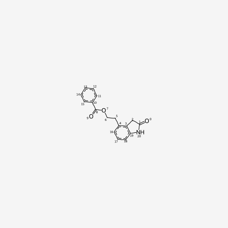 O=C1Cc2c(CCOC(=O)c3ccccc3)cccc2N1